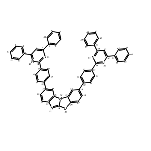 c1ccc(-c2cc(-c3ccccc3)nc(-c3ccc(-c4ccc5nc6oc7ccc(-c8ccc(-c9nc(-c%10ccccc%10)cc(-c%10ccccc%10)n9)cc8)cc7n6c5c4)cc3)n2)cc1